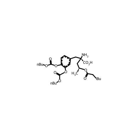 CCCCOC(=O)Oc1ccc(C[C@](N)(C[C@H](C)OC(=O)CC(C)CC)C(=O)O)cc1OC(=O)OCCCC